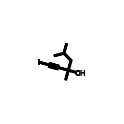 CC(C)CC(C)(O)C#CI